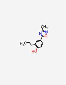 C=CCc1cc(-c2nc(C)no2)ccc1O